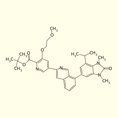 COCCOc1cc(-c2cc3cccc(-c4cc(C(C)C)c5c(c4)n(C)c(=O)n5C)c3cn2)cnc1C(=O)OC(C)(C)C